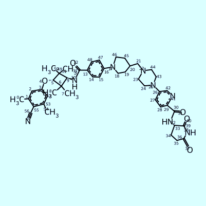 Cc1cc(O[C@H]2C(C)(C)[C@H](NC(=O)c3ccc(N4CCC(CN5CCN(c6ccc(C(=O)N[C@H]7CCC(=O)NC7=O)nc6)CC5)CC4)cc3)C2(C)C)cc(C)c1C#N